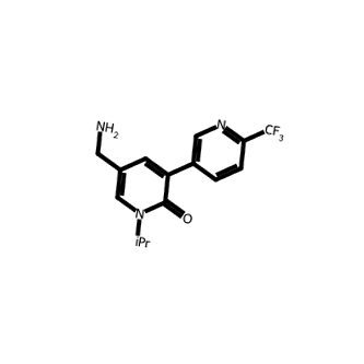 CC(C)n1cc(CN)cc(-c2ccc(C(F)(F)F)nc2)c1=O